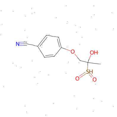 CC(O)(COc1ccc(C#N)cc1)[SH](=O)=O